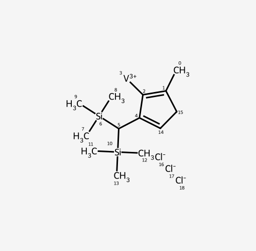 CC1=[C]([V+3])C(C([Si](C)(C)C)[Si](C)(C)C)=CC1.[Cl-].[Cl-].[Cl-]